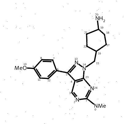 CNc1ncc2c(-c3ccc(OC)cc3)nn(CC3CCC(N)CC3)c2n1